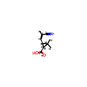 CC(C#N)=C[C@@H]1[C@H](C(=O)O)C1(C)C